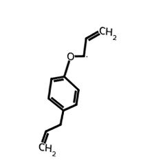 C=C[CH]Oc1ccc(CC=C)cc1